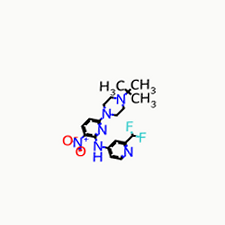 CC(C)(C)N1CCN(c2ccc([N+](=O)[O-])c(Nc3ccnc(C(F)F)c3)n2)CC1